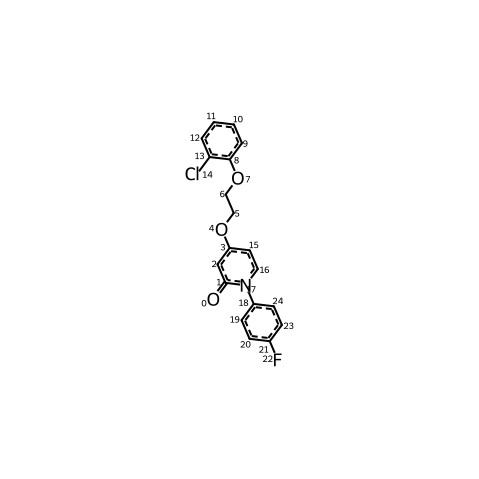 O=c1cc(OCCOc2ccccc2Cl)ccn1-c1ccc(F)cc1